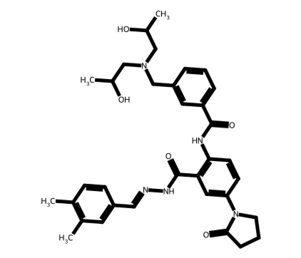 Cc1ccc(/C=N/NC(=O)c2cc(N3CCCC3=O)ccc2NC(=O)c2cccc(CN(CC(C)O)CC(C)O)c2)cc1C